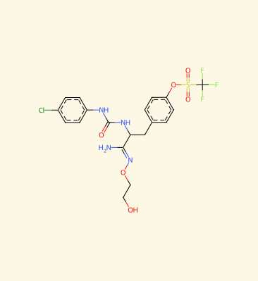 NC(=NOCCO)C(Cc1ccc(OS(=O)(=O)C(F)(F)F)cc1)NC(=O)Nc1ccc(Cl)cc1